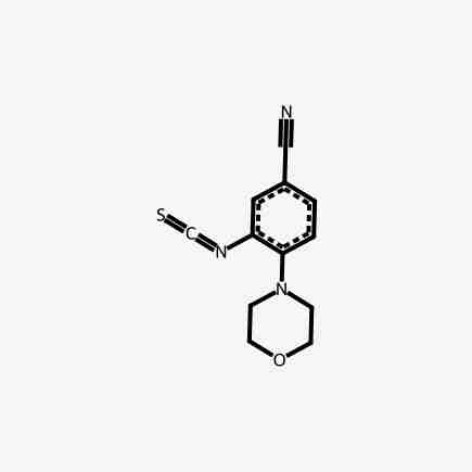 N#Cc1ccc(N2CCOCC2)c(N=C=S)c1